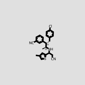 Cc1csc(C(CC#N)N[C@@H](C)[C@@H](Cc2ccc(Cl)cc2)c2cccc(C#N)c2)c1